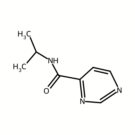 CC(C)NC(=O)c1ccncn1